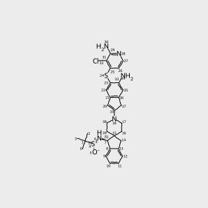 CC(C)(C)[S@@+]([O-])N[C@@H]1c2ccccc2CC12CCN(C1=Cc3cc(Sc4ccnc(N)c4Cl)c(N)cc3C1)CC2